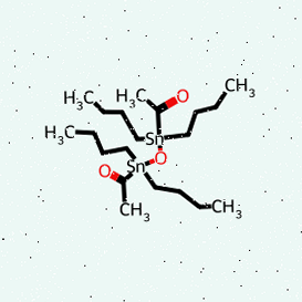 CCC[CH2][Sn]([CH2]CCC)([O][Sn]([CH2]CCC)([CH2]CCC)[C](C)=O)[C](C)=O